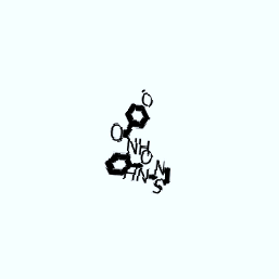 COc1ccc(C(=O)Nc2ccccc2C(=O)Nc2nccs2)cc1